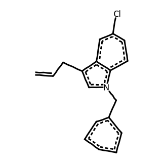 C=CCc1cn(Cc2ccccc2)c2ccc(Cl)cc12